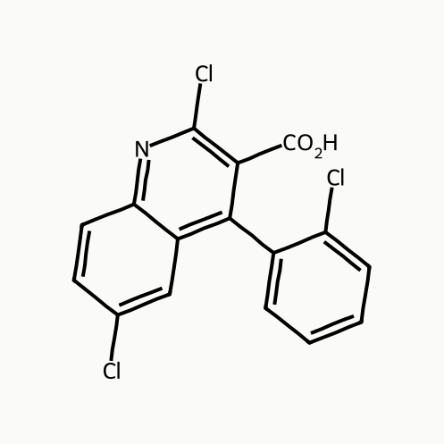 O=C(O)c1c(Cl)nc2ccc(Cl)cc2c1-c1ccccc1Cl